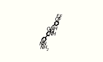 COC1(C(=O)NCc2cccc(OC(F)(F)F)c2)C=CC(c2ccn3nc(N)nc3c2)=CN1